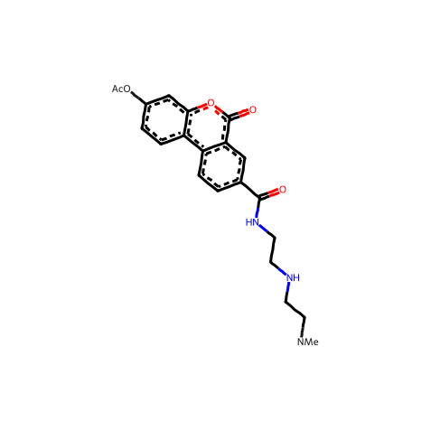 CNCCNCCNC(=O)c1ccc2c(c1)c(=O)oc1cc(OC(C)=O)ccc12